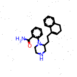 NC(=O)c1ccccc1N1CCNCC1CCC1=CCCc2ccccc21